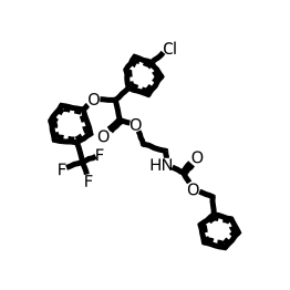 O=C(NCCOC(=O)C(Oc1cccc(C(F)(F)F)c1)c1ccc(Cl)cc1)OCc1ccccc1